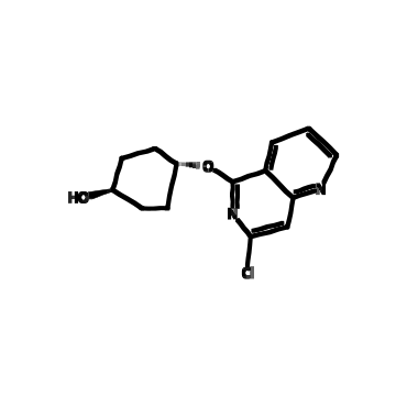 O[C@H]1CC[C@H](Oc2nc(Cl)cc3ncccc23)CC1